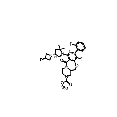 CC(C)(C)OC(=O)N1CCN2C(=O)c3c(N4C[C@H](N5CC(F)C5)CC4(C)C)nc(-c4ccccc4F)c(F)c3OCC2C1